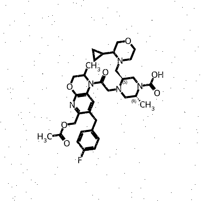 CC(=O)OCc1nc2c(cc1Cc1ccc(F)cc1)N(C(=O)CN1C[C@@H](C)N(C(=O)O)C[C@@H]1CN1CCOCC1C1CC1)C(C)CO2